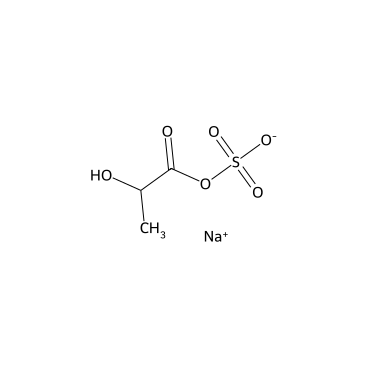 CC(O)C(=O)OS(=O)(=O)[O-].[Na+]